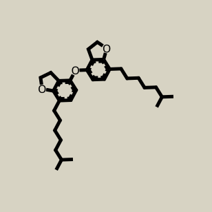 CC(C)CCCCCc1ccc(Oc2ccc(CCCCCC(C)C)c3c2CCO3)c2c1OCC2